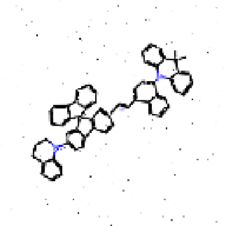 CC1(C)c2ccccc2N(c2ccc(/C=C/c3ccc4c(c3)C3(c5ccccc5-c5ccccc53)c3cc(N5CCCc6ccccc65)ccc3-4)c3ccccc23)c2ccccc21